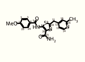 COc1ccc(C(=O)Nc2sc(Cc3ccnc(C)c3)nc2C(N)=O)cc1